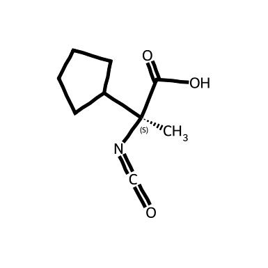 C[C@@](N=C=O)(C(=O)O)C1CCCC1